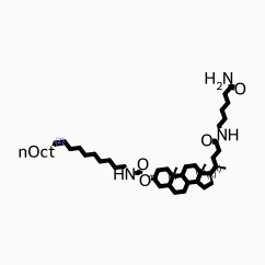 CCCCCCCC/C=C\CCCCCCCCNC(=O)O[C@@H]1CC[C@@]2(C)C(CCC3C2CC[C@@]2(C)C3CC[C@@H]2[C@H](C)CCC(=O)NCCCCCC(N)=O)C1